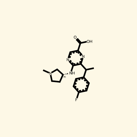 CC(c1ccc(F)cc1)c1nc(C(=O)O)cnc1N[C@@H]1CCN(C)C1